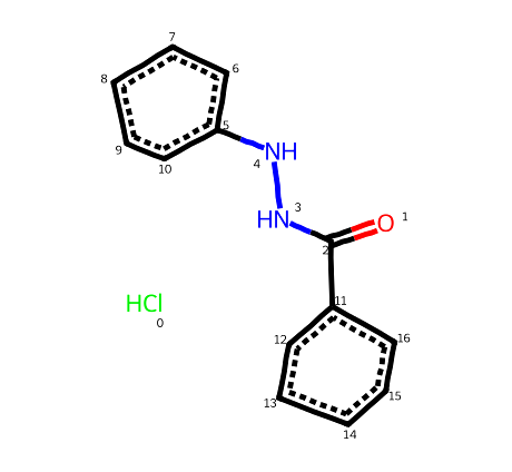 Cl.O=C(NNc1ccccc1)c1ccccc1